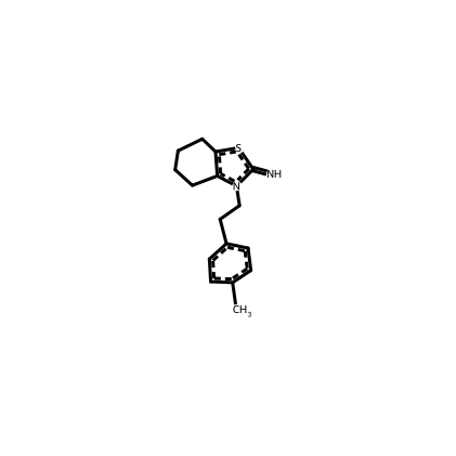 Cc1ccc(CCn2c3c(sc2=N)CCCC3)cc1